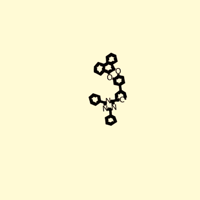 c1ccc(-c2nc(-c3ccccc3)nc(-c3cccc(-c4ccc5c(c4)Oc4c(c6ccccc6c6ccccc46)O5)c3)n2)cc1